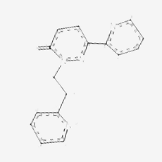 O=c1ccc(-c2ccccn2)nn1CCc1ccccn1